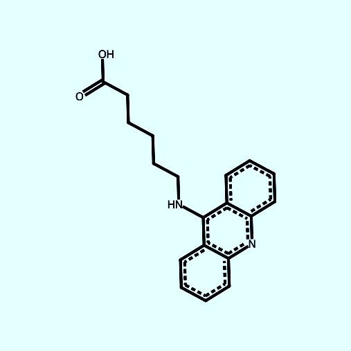 O=C(O)CCCCCNc1c2ccccc2nc2ccccc12